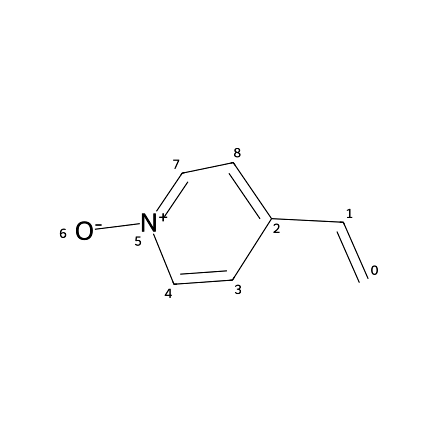 C=Cc1cc[n+]([O-])cc1